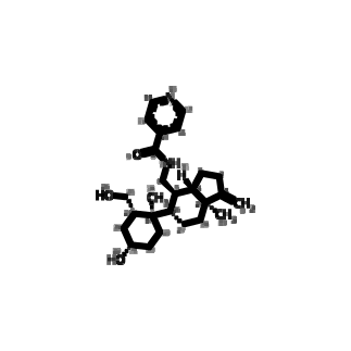 C=C1CC[C@H]2[C@H](CNC(=O)c3ccncc3)[C@@H]([C@@]3(C)CC[C@H](O)C[C@@H]3CO)CC[C@]12C